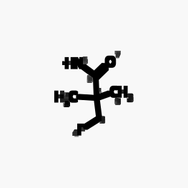 CC(C)(CF)C([NH])=O